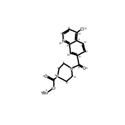 CC(C)(C)OC(=O)N1CCN(C(=O)c2ccc3c(Cl)ccnc3c2)CC1